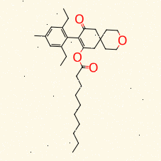 CCCCCCCCCC(=O)OC1=C(c2c(CC)cc(C)cc2CC)C(=O)CC2(CCOCC2)C1